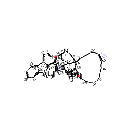 C1=C\CC[C@]23CN4CCCC/C=C/CC[C@@]5(O[C@H]5[C@@H](c5nccc6c5[nH]c5ccccc56)[C@H]2CC4)[C@@H]3NCCCC/1